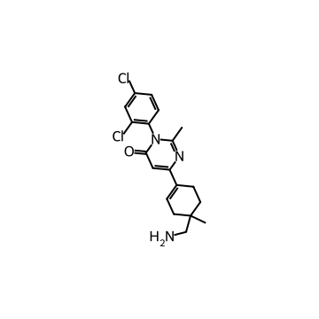 Cc1nc(C2=CCC(C)(CN)CC2)cc(=O)n1-c1ccc(Cl)cc1Cl